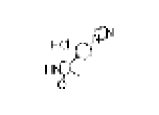 CCC1=C(c2ccc(-n3ccnc3)cc2)CNC1=O.Cl